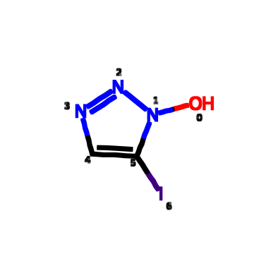 On1nncc1I